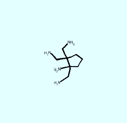 NCC1(N)CCCC1(CN)CN